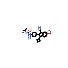 COc1ccc2c(c1)C(C#N)=C(c1ccc(NC(=O)NC(C)C)cc1)C2C1CCC1